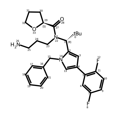 CC(C)(C)[C@H](c1cc(-c2cc(F)ccc2F)cn1Cc1ccccc1)N(CCCN)C(=O)[C@@H]1CCCO1